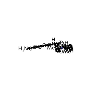 COc1cccc(OC)c1/C(=C/C(=N)C(=O)NC1(CO)C=CCC2CCC1C2)Nc1ccc(NCCOCCOCCOCCOCCOCCN)cc1C(C)C